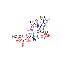 CC[C@@]1(O)C(=O)OCc2c1cc1n(c2=O)Cc2c-1nc1cc(F)c(C)c3c1c2[C@@H](NC(=O)C(C)(C)COCNC(=O)[C@H](CO[C@@H]1O[C@H](C(=O)O)[C@@H](O)[C@H](O)[C@H]1O)NC(=O)[C@@H](N)C(C)C)CC3